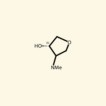 [CH2-][NH2+]C1COC[C@H]1O